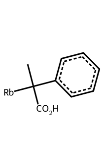 C[C]([Rb])(C(=O)O)c1ccccc1